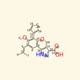 COc1c(C=C(C)C)cc2c(c1-c1ccsc1)OCc1c(C(=O)O)n[nH]c1-2